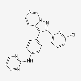 Clc1cccc(-c2nn3cnccc3c2-c2ccc(Nc3ncccn3)cc2)n1